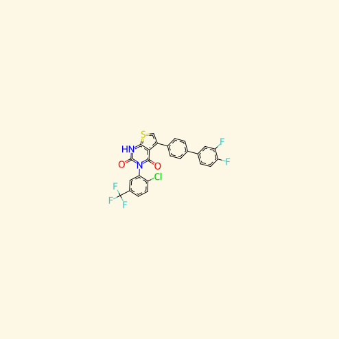 O=c1[nH]c2scc(-c3ccc(-c4ccc(F)c(F)c4)cc3)c2c(=O)n1-c1cc(C(F)(F)F)ccc1Cl